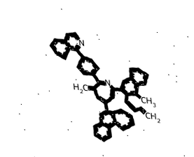 C=C/C=C\c1c(C2=CC(c3cc4ccccc4c4ccccc34)=CC(=C)C(c3ccc(-c4nccc5ccccc45)cc3)=N2)cc2ccccc2c1C